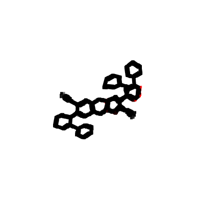 N#Cc1cc2c(cc1-c1cccc(-c3ccccc3)c1)C1c3cc(C#N)c(-c4ccccc4-c4ccccc4)cc3C2c2cc(C#N)c(-c3ccccc3-c3ccccc3)cc21